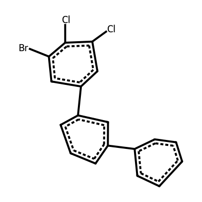 Clc1cc(-c2cccc(-c3ccccc3)c2)cc(Br)c1Cl